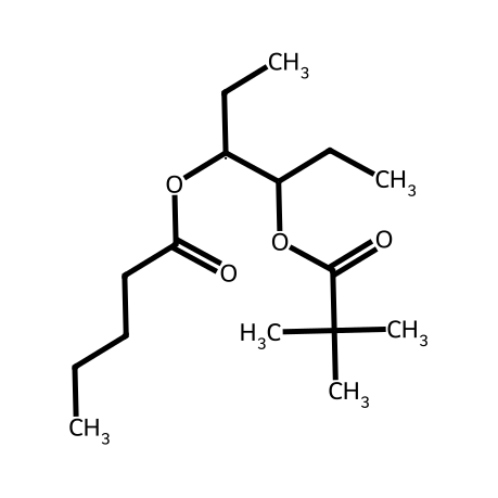 CCCCC(=O)O[C](CC)C(CC)OC(=O)C(C)(C)C